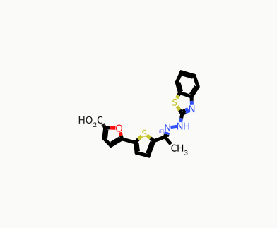 C/C(=N\Nc1nc2ccccc2s1)c1ccc(-c2ccc(C(=O)O)o2)s1